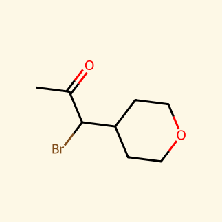 CC(=O)C(Br)C1CCOCC1